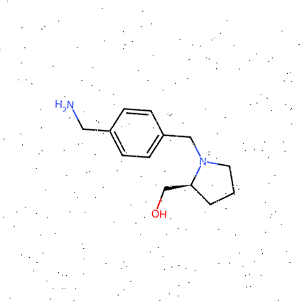 NCc1ccc(CN2CCC[C@H]2CO)cc1